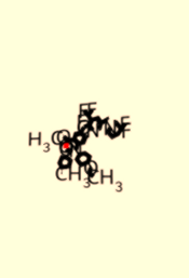 CCO[C@H]1CC[C@H](N(c2ccc(Oc3ncc(CN4CCCC(F)(F)C4)cc3C(F)(F)F)cc2C(=O)OC)C(=O)[C@H]2CC[C@H](C)CC2)CC1